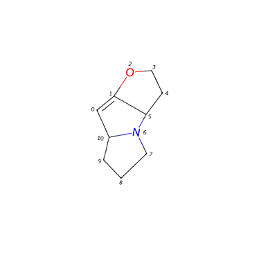 C1=C2OCCC2N2CCCC12